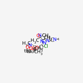 Cc1noc(C)c1-c1nc(-c2cc(OCC(CN(C)C(=O)OC(C)(C)C)O[Si](C)(C)C(C)(C)C)ccc2Cl)nc(N2CC3(CCN(C4CC4)CC3)C2)c1C